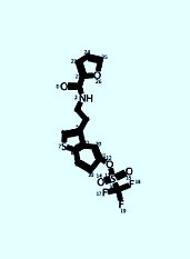 O=C(NCCc1csc2ccc(OS(=O)(=O)C(F)(F)F)cc12)c1ccco1